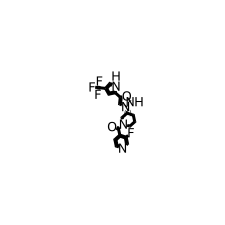 O=C(c1ccncc1F)N1CCC[C@H](N2C=C(c3cc(C(F)(F)F)c[nH]3)ON2)C1